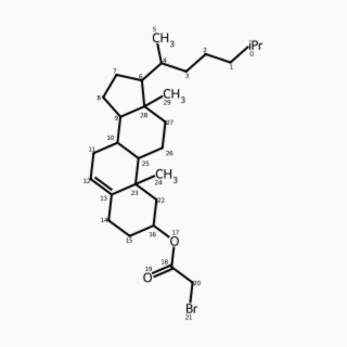 CC(C)CCCC(C)C1CCC2C3CC=C4CCC(OC(=O)CBr)CC4(C)C3CCC12C